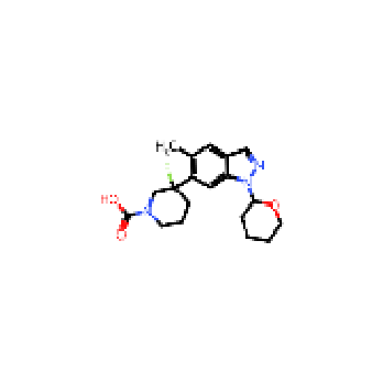 Cc1cc2cnn(C3CCCCO3)c2cc1C1(F)CCCN(C(=O)O)C1